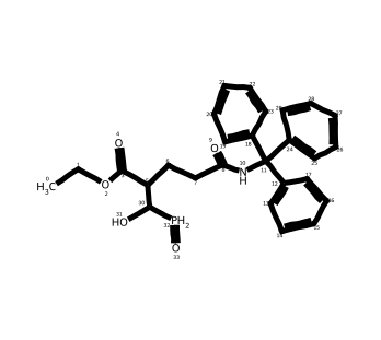 CCOC(=O)C(CCC(=O)NC(c1ccccc1)(c1ccccc1)c1ccccc1)C(O)[PH2]=O